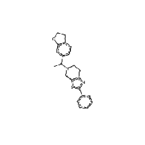 CC(c1ccc2c(c1)OCC2)N1CCc2nc(-c3ccccc3)sc2C1